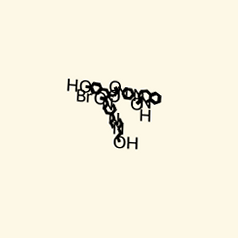 O=C(OC(Cc1ccc(O)c(Br)c1)C(=O)N1CCC(N2CCN(CCO)CC2)CC1)N1CCC(N2CCc3ccccc3NC2=O)CC1